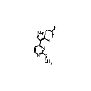 CSc1nccc(-c2cnn(CC(F)F)c2I)n1